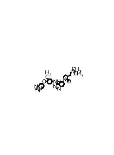 Cc1cc(Nc2ncnc3ccc(N4CC/C(=C\CN(C)C)C4=O)cc23)ccc1Oc1ccn2ncnc2c1